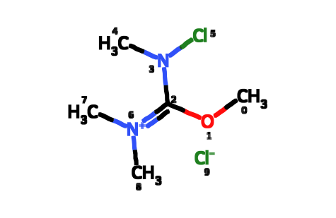 COC(N(C)Cl)=[N+](C)C.[Cl-]